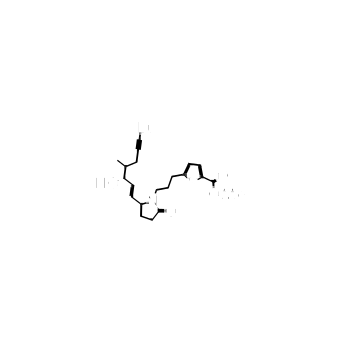 CCC#CCC(C)[C@@H](O)C=CC1CCC(=O)N1CCCc1ccc(C(=O)OC)s1